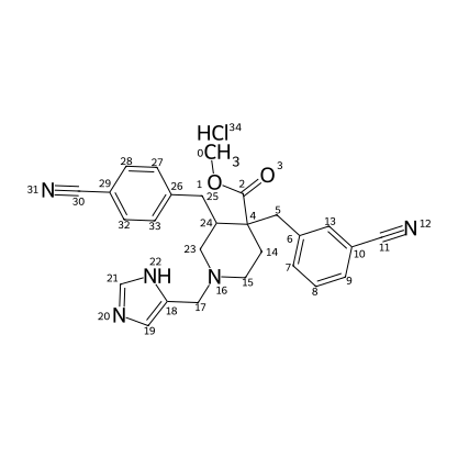 COC(=O)C1(Cc2cccc(C#N)c2)CCN(Cc2cnc[nH]2)CC1Cc1ccc(C#N)cc1.Cl